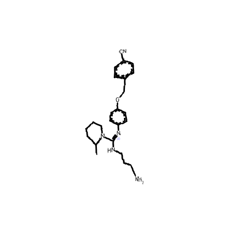 CC1CCCCN1/C(=N\c1ccc(OCc2ccc(C#N)cc2)cc1)NCCCN